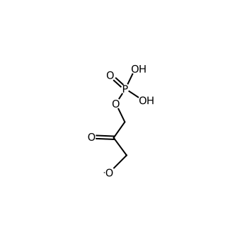 [O]CC(=O)COP(=O)(O)O